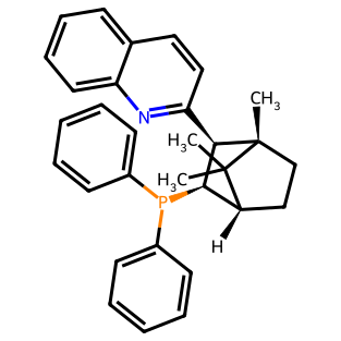 CC1(C)[C@@H]2CC[C@@]1(C)[C@H](c1ccc3ccccc3n1)[C@@H]2P(c1ccccc1)c1ccccc1